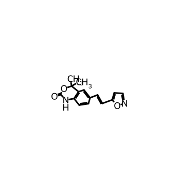 CC1(C)OC(=O)Nc2ccc(C=Cc3ccno3)cc21